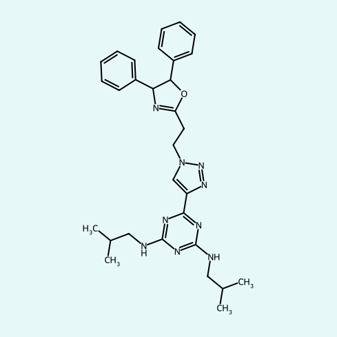 CC(C)CNc1nc(NCC(C)C)nc(-c2cn(CCC3=NC(c4ccccc4)C(c4ccccc4)O3)nn2)n1